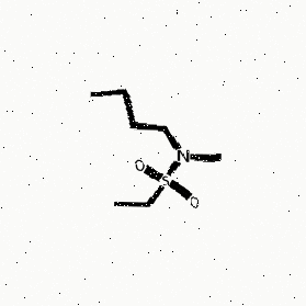 CCCCN(C)S(=O)(=O)CC